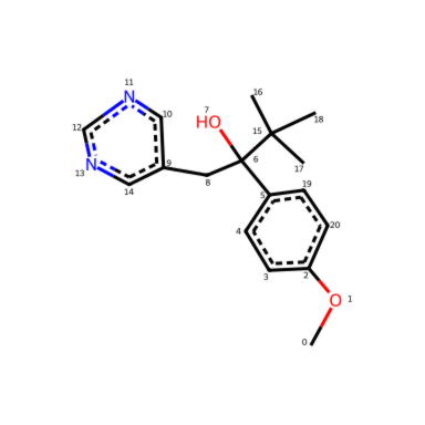 COc1ccc(C(O)(Cc2cncnc2)C(C)(C)C)cc1